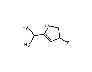 CC(C)C1=CC(F)CN1